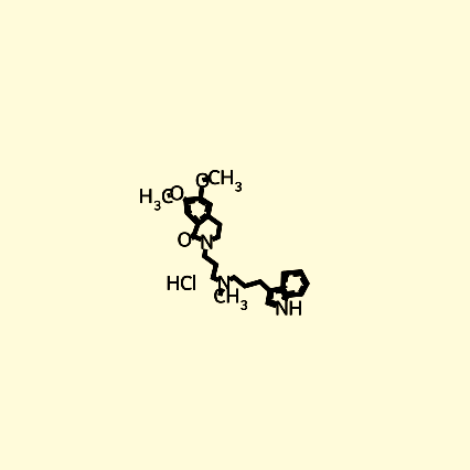 COc1cc2c(cc1OC)C(=O)N(CCCN(C)CCCc1c[nH]c3ccccc13)CC2.Cl